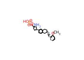 COc1ccccc1CC[C@H]1CCc2cc([C@H]3CC[C@](N)(COP(=O)(O)O)C3)ccc2C1